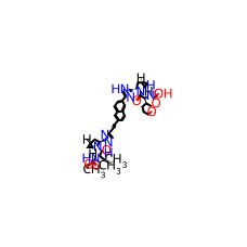 COC(=O)NC(C(=O)N1[C@@H]2C[C@@H]2C[C@H]1c1nc(C#Cc2ccc3cc(-c4c[nH]c([C@@H]5C[C@H]6C[C@H]6N5C(=O)C(NC(=O)O)[C@@H]5CCCOC5)n4)ccc3c2)c[nH]1)C(C)C